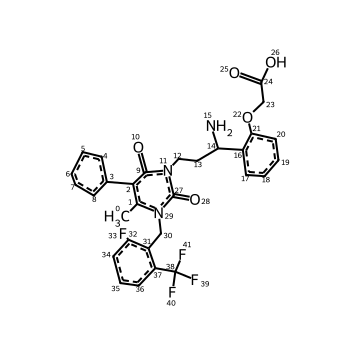 Cc1c(-c2ccccc2)c(=O)n(CCC(N)c2ccccc2OCC(=O)O)c(=O)n1Cc1c(F)cccc1C(F)(F)F